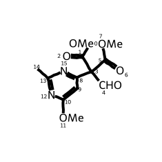 COC(=O)C(C=O)(C(=O)OC)c1cc(OC)nc(C)n1